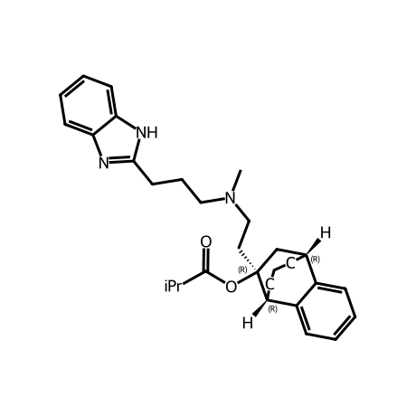 CC(C)C(=O)O[C@@]1(CCN(C)CCCc2nc3ccccc3[nH]2)C[C@H]2CCC[C@@H]1c1ccccc12